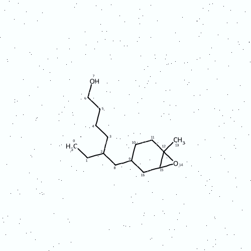 CCC(CCCCO)CC1CCC2(C)OC2C1